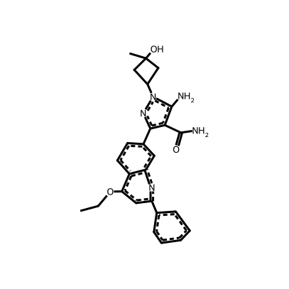 CCOc1cc(-c2ccccc2)nc2cc(-c3nn(C4CC(C)(O)C4)c(N)c3C(N)=O)ccc12